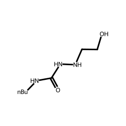 CCCCNC(=O)NNCCO